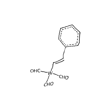 O=[CH][W]([CH]=O)([CH]=O)[CH]=Cc1ccccc1